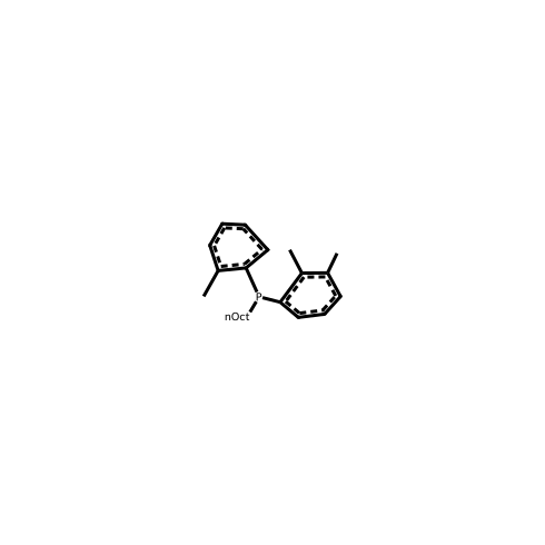 CCCCCCCCP(c1ccccc1C)c1cccc(C)c1C